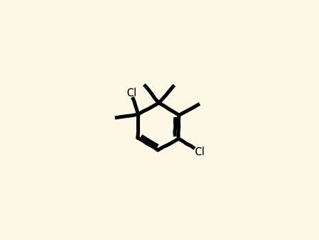 CC1=C(Cl)C=CC(C)(Cl)C1(C)C